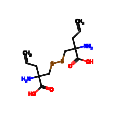 C=CCC(N)(CSSCC(N)(CC=C)C(=O)O)C(=O)O